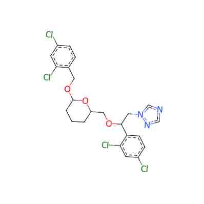 Clc1ccc(COC2CCCC(COC(Cn3cncn3)c3ccc(Cl)cc3Cl)O2)c(Cl)c1